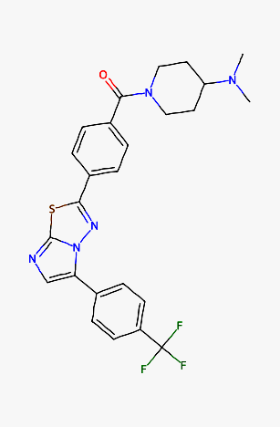 CN(C)C1CCN(C(=O)c2ccc(-c3nn4c(-c5ccc(C(F)(F)F)cc5)cnc4s3)cc2)CC1